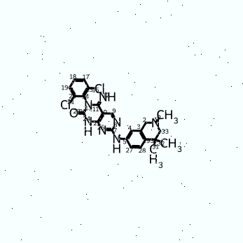 CN1Cc2cc(Nc3ncc4c(=N)n(-c5c(Cl)cccc5Cl)c(=O)[nH]c4n3)ccc2C(C)(C)C1